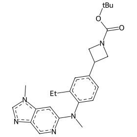 CCc1cc(C2CN(C(=O)OC(C)(C)C)C2)ccc1N(C)c1cc2c(cn1)ncn2C